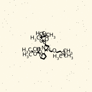 CC(C)(C)OC(=O)N1CCC[C@H]1c1nc(B2OC(C)(C)C(C)(C)O2)cn1COCC[Si](C)(C)C